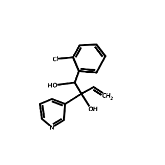 C=CC(O)(c1cccnc1)C(O)c1ccccc1Cl